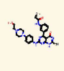 C=CC(=O)Nc1cccc(-c2nc(Nc3ccc(N4CCN(CCO)CC4)cc3)nc3[nH]c(C#N)nc(=O)c23)c1